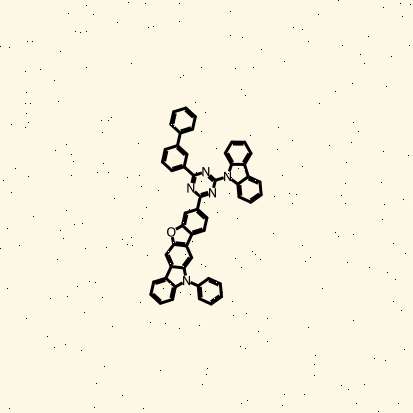 c1ccc(-c2cccc(-c3nc(-c4ccc5c(c4)oc4cc6c7ccccc7n(-c7ccccc7)c6cc45)nc(-n4c5ccccc5c5ccccc54)n3)c2)cc1